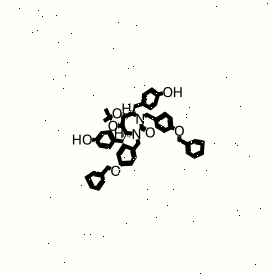 CC1(C)O[C@@H]2[C@@H](O1)[C@@H](Cc1ccc(O)cc1)N(Cc1ccc(OCc3ccccc3)cc1)C(=O)N(Cc1ccc(OCc3ccccc3)cc1)[C@@H]2Cc1ccc(O)cc1